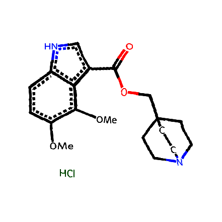 COc1ccc2[nH]cc(C(=O)OCC34CCN(CC3)CC4)c2c1OC.Cl